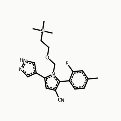 Cc1ccc(-c2c(C#N)cc(-c3cn[nH]c3)n2COCC[Si](C)(C)C)c(F)c1